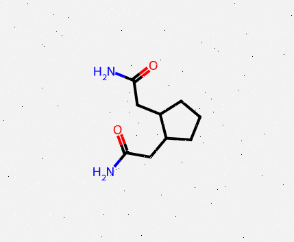 NC(=O)CC1CCCC1CC(N)=O